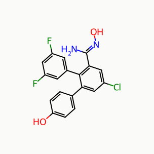 N/C(=N\O)c1cc(Cl)cc(-c2ccc(O)cc2)c1-c1cc(F)cc(F)c1